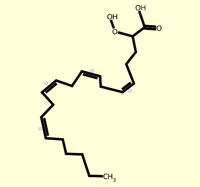 CCCCC/C=C\C/C=C\C/C=C\C/C=C\CCC(OO)C(=O)O